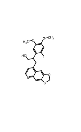 COc1cc(I)c(C(CO)Cc2ccnc3cc4c(cc23)OCO4)cc1OC